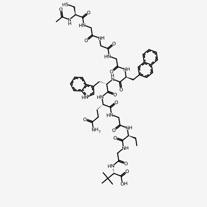 CC[C@H](NC(=O)CNC(=O)[C@H](CCC(N)=O)NC(=O)[C@H](Cc1c[nH]c2ccccc12)NC(=O)[C@H](Cc1ccc2ccccc2c1)NC(=O)CNC(=O)CNC(=O)CNC(=O)[C@H](CS)NC(C)=O)C(=O)NCC(=O)N[C@H](C(=O)O)C(C)(C)C